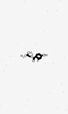 CC(C)COC(=O)c1ccc(O)cc1F